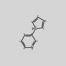 C1=C[SH](c2cccnc2)C=C1